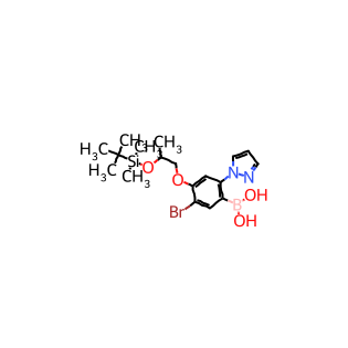 CC(COc1cc(-n2cccn2)c(B(O)O)cc1Br)O[Si](C)(C)C(C)(C)C